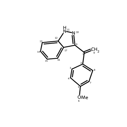 C=C(c1ccc(OC)cc1)c1n[nH]c2ccccc12